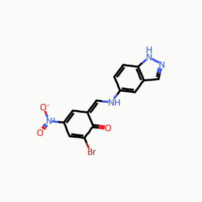 O=C1C(Br)=CC([N+](=O)[O-])=CC1=CNc1ccc2[nH]ncc2c1